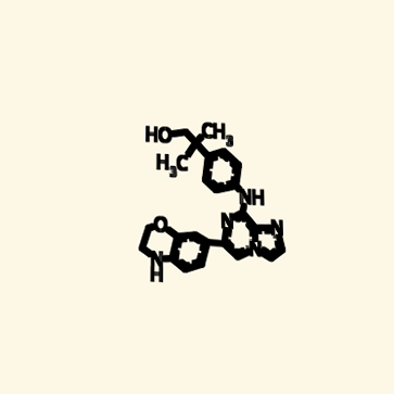 CC(C)(CO)c1ccc(Nc2nc(-c3ccc4c(c3)OCCN4)cn3ccnc23)cc1